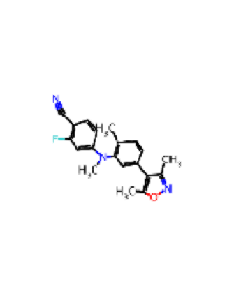 Cc1ccc(-c2c(C)noc2C)cc1N(C)c1ccc(C#N)c(F)c1